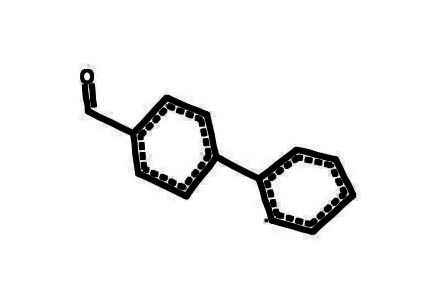 O=Cc1ccc(-c2[c]cccc2)cc1